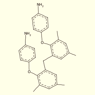 Cc1cc(C)c(Oc2ccc(N)cc2)c(Cc2cc(C)cc(C)c2Oc2ccc(N)cc2)c1